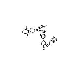 CC(C)Oc1nn([C@H]2CC[C@H](N3[C@@H]4CC[C@H]3COC4)CC2)cc1Nc1ncc(-c2ccc(Cl)c(O[C@@H](C)Cn3cnnn3)c2)cn1